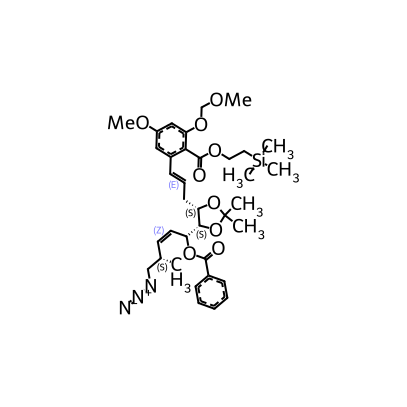 COCOc1cc(OC)cc(/C=C/C[C@@H]2OC(C)(C)O[C@@H]2C(/C=C\[C@H](C)CN=[N+]=[N-])OC(=O)c2ccccc2)c1C(=O)OCC[Si](C)(C)C